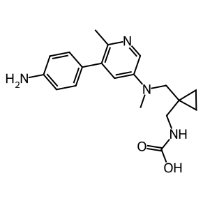 Cc1ncc(N(C)CC2(CNC(=O)O)CC2)cc1-c1ccc(N)cc1